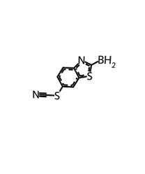 Bc1nc2ccc(SC#N)cc2s1